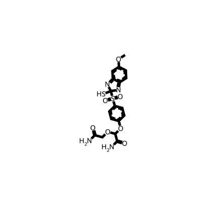 COc1ccc2c(c1)=NC(S)(S(=O)(=O)c1ccc(OC(OCC(N)=O)C(N)=O)cc1)N=2